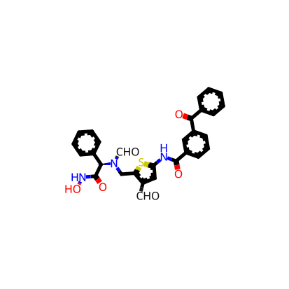 O=Cc1cc(NC(=O)c2cccc(C(=O)c3ccccc3)c2)sc1CN(C=O)[C@@H](C(=O)NO)c1ccccc1